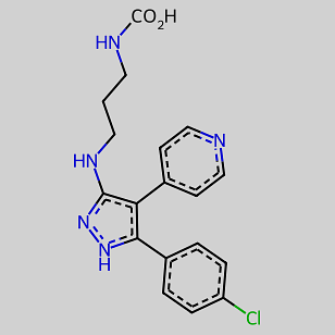 O=C(O)NCCCNc1n[nH]c(-c2ccc(Cl)cc2)c1-c1ccncc1